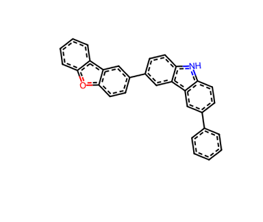 c1ccc(-c2ccc3[nH]c4ccc(-c5ccc6oc7ccccc7c6c5)cc4c3c2)cc1